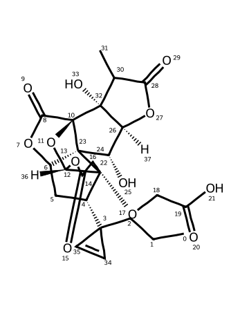 CCCC1([C@@H]2CC3OC(=O)[C@@]45O[C@@H]6OC(=O)[C@H](OCC(=O)O)C62[C@@]34[C@@H](O)[C@@H]2OC(=O)C(C)[C@@]25O)C=C1